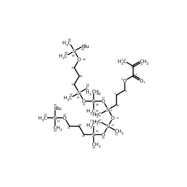 C=C(C)C(=O)OCCC[Si](C)(O[Si](C)(C)O[Si](C)(C)CCCO[Si](C)(C)C(C)(C)C)O[Si](C)(C)O[Si](C)(C)CCCO[Si](C)(C)C(C)(C)C